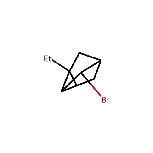 CCC12CC3CC1C2C3Br